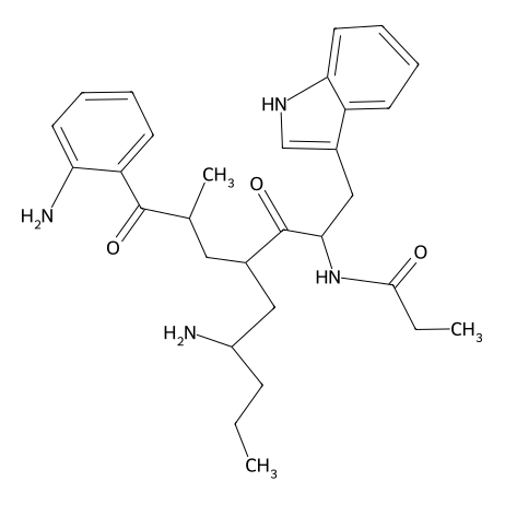 CCCC(N)CC(CC(C)C(=O)c1ccccc1N)C(=O)C(Cc1c[nH]c2ccccc12)NC(=O)CC